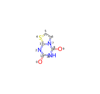 O=c1nc2sccn2c(=O)[nH]1